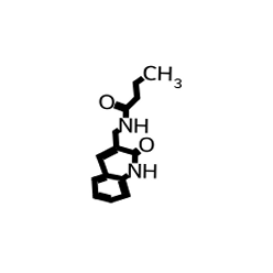 CCCC(=O)NCc1cc2ccccc2[nH]c1=O